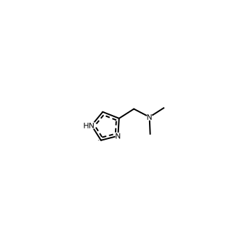 CN(C)Cc1c[nH][c]n1